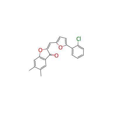 Cc1cc2c(cc1C)C(=O)C(=Cc1ccc(-c3ccccc3Cl)o1)O2